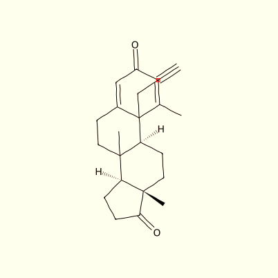 C#CCC12C(C)=CC(=O)C=C1CCC1(C)[C@@H]2CC[C@]2(C)C(=O)CC[C@@H]12